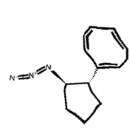 [N-]=[N+]=N[C@@H]1CCC[C@H]1c1ccccc1